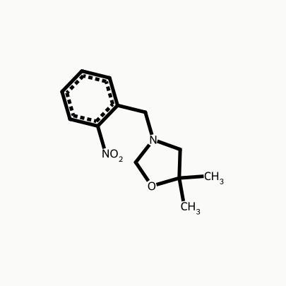 CC1(C)CN(Cc2ccccc2[N+](=O)[O-])CO1